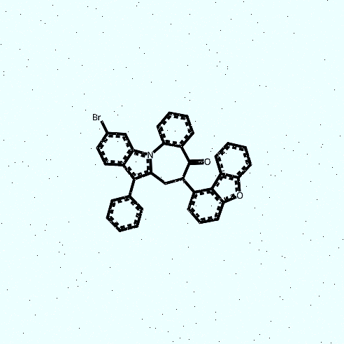 O=C1c2ccccc2-n2c(c(-c3ccccc3)c3ccc(Br)cc32)CC1c1cccc2oc3ccccc3c12